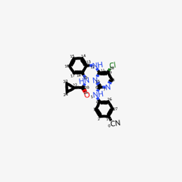 N#Cc1ccc(Nc2ncc(Cl)c(Nc3ccccc3NC(=O)C3CC3)n2)cc1